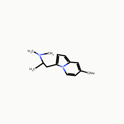 COc1ccn2c(CC(C)N(C)C)ccc2c1